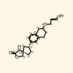 CCC/C=C/COC1CCc2cc([C@H]3CC[C@]4(COC(=O)N4)C3)ccc2C1